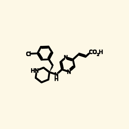 O=C(O)/C=C/c1cnc(N[C@@]2(Cc3cccc(Cl)c3)CCCNC2)cn1